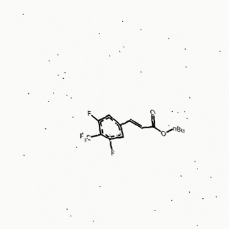 CCCCOC(=O)/C=C/c1cc(F)c(C(F)(F)F)c(F)c1